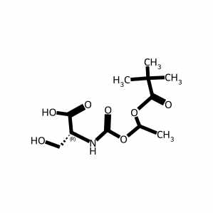 CC(OC(=O)N[C@H](CO)C(=O)O)OC(=O)C(C)(C)C